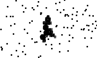 COc1cccc(-c2cc(C(N)=O)c3[nH]c4cc(C(=O)NC5CCN(C)CC5)ccc4c3c2)c1